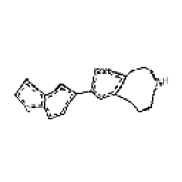 c1cc2cc(-c3ccc4c(c3)CCNC4)ccc2o1